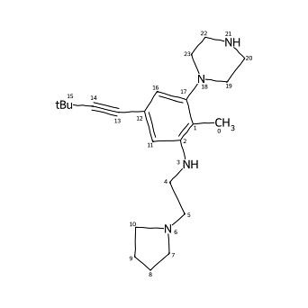 Cc1c(NCCN2CCCC2)cc(C#CC(C)(C)C)cc1N1CCNCC1